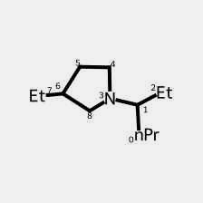 CCCC(CC)N1CCC(CC)C1